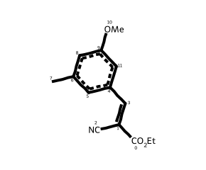 CCOC(=O)C(C#N)=Cc1cc(C)cc(OC)c1